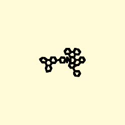 c1ccc(-c2ccc(N(c3ccc(-c4ccc5c6ccccc6c6ccccc6c5c4)cc3)c3c(-c4cccc5ccccc45)c4ccccc4c4ccccc34)cc2)cc1